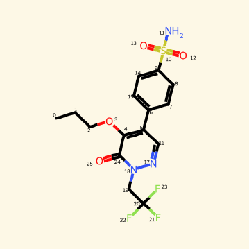 CCCOc1c(-c2ccc(S(N)(=O)=O)cc2)cnn(CC(F)(F)F)c1=O